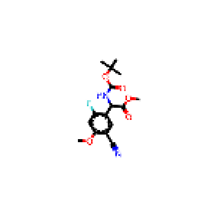 COC(=O)C(NC(=O)OC(C)(C)C)c1cc(C#N)c(OC)cc1F